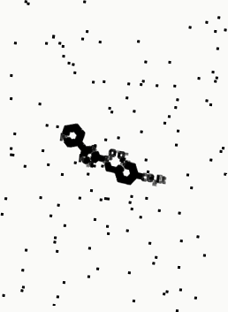 CCOC(=O)c1ccc(C[S+]([O-])c2nnc(-c3cccnc3)s2)[n+]([O-])c1